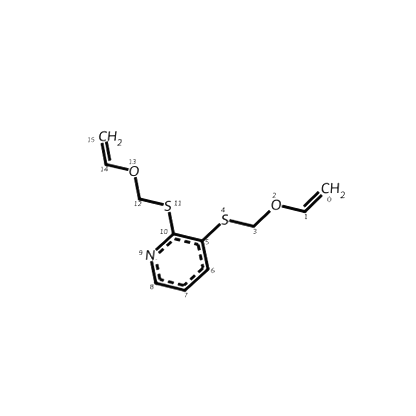 C=COCSc1cccnc1SCOC=C